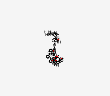 CCC(CC)(N[C@H](CCCNC(=N)N)C(=O)C(C)(C)N)C(=O)[C@@H](CSSCCOC(=O)O[C@@H](C(=O)O[C@H]1C[C@@]2(O)[C@@H](OC(=O)c3ccccc3)[C@@H]3[C@]4(OC(C)=O)CO[C@@H]4C[C@H](C)[C@@]3(C)C(=O)[C@H](OC(C)=O)C(=C1C)C2(C)C)C(NC(=O)c1ccccc1)c1ccccc1)NC(C)=O